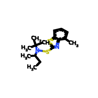 CCC(C)N(Sc1nc2c(C)cccc2s1)C(C)(C)C